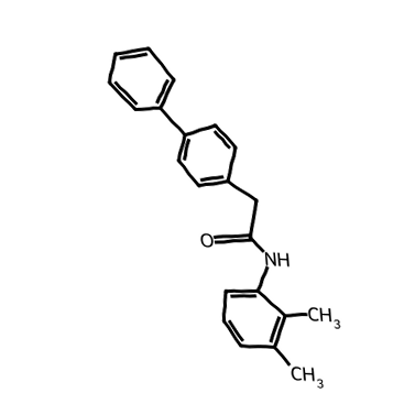 Cc1cccc(NC(=O)Cc2ccc(-c3ccccc3)cc2)c1C